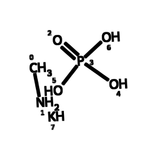 CN.O=P(O)(O)O.[KH]